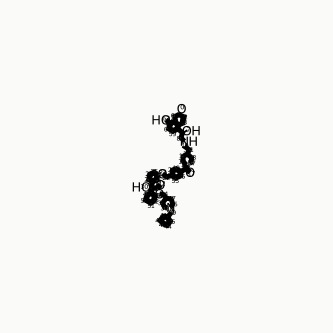 O=C1C=Cc2c([C@@H](O)CNCCC3CCN(C(=O)c4ccc(COc5cccc(C(O)(C(=O)OCC6CCN(Cc7ccccc7)CC6)c6ccccc6)c5)cc4)CC3)ccc(O)c2C1